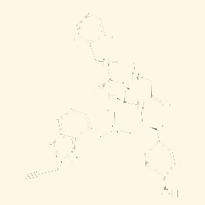 C#CCn1cc2cccc(CN3C[C@H](Cc4ccc(O)cc4)N4C(=O)CN(C)N(C(=O)NCc5ccccc5)[C@H]4C3)c2n1